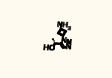 C[C@@H](O)c1cnnn1[C@H]1C[C@@H](N)C1